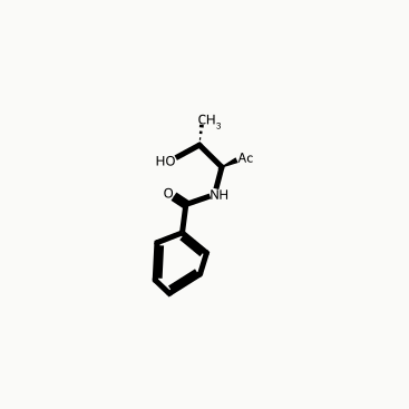 CC(=O)[C@@H](NC(=O)c1ccccc1)[C@@H](C)O